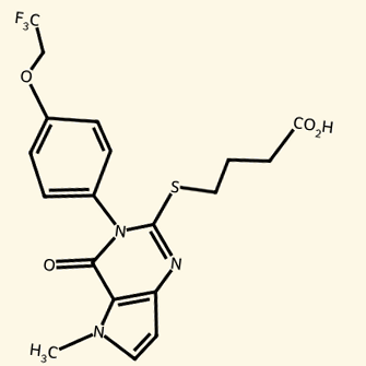 Cn1ccc2nc(SCCCC(=O)O)n(-c3ccc(OCC(F)(F)F)cc3)c(=O)c21